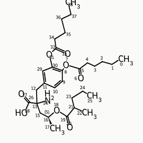 CCCCCC(=O)Oc1ccc(CC(N)(C[C@H](C)OC(=O)C(C)CCC)C(=O)O)cc1OC(=O)CCCCC